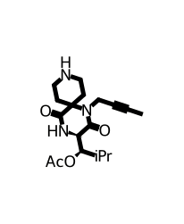 CC#CCN1C(=O)[C@@H]([C@H](OC(C)=O)C(C)C)NC(=O)C12CCNCC2